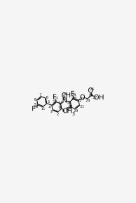 Cc1ccc(-c2cccc(F)c2)c(F)c1N(C)c1c(F)ccc(OCC(=O)O)c1F